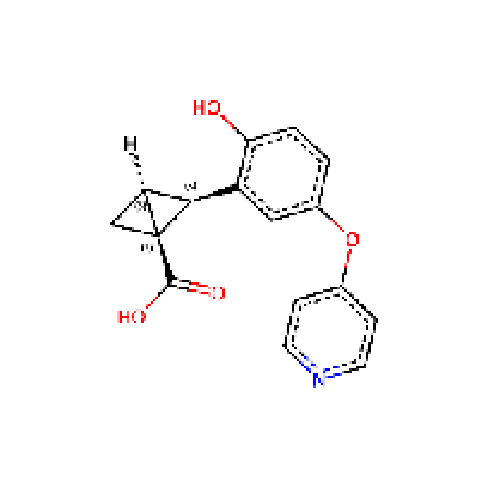 O=C(O)[C@@]12C[C@H]1[C@H]2c1cc(Oc2ccncc2)ccc1O